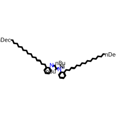 CCCCCCCCCCCCCCCCCCCCCC=CCCc1ccccc1N=C(CCCC)C(CCCC)=[N+]([Ni])c1ccccc1CCC=CCCCCCCCCCCCCCCCCCCCCC